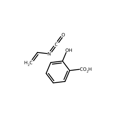 C=CN=C=O.O=C(O)c1ccccc1O